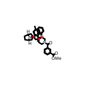 COC(=O)c1cccc(C(=O)N2CCC(CCN3[C@@H]4CC[C@H]3CC(n3c(C)nc5ccccc53)C4)(c3ccc(C)cc3)CC2)c1